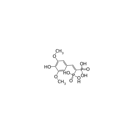 COc1cc(C=C(P(=O)(O)O)P(=O)(O)O)cc(OC)c1O